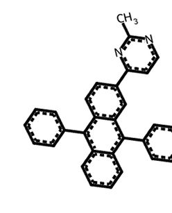 Cc1nccc(-c2ccc3c(-c4ccccc4)c4ccccc4c(-c4ccccc4)c3c2)n1